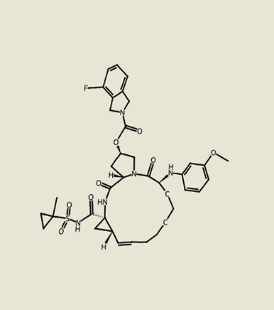 COc1cccc(N[C@H]2CCCCC/C=C\[C@@H]3C[C@@]3(C(=O)NS(=O)(=O)C3(C)CC3)NC(=O)[C@@H]3C[C@@H](OC(=O)N4Cc5cccc(F)c5C4)CN3C2=O)c1